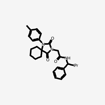 Cc1ccc(N2C(=O)N(CC(=O)NC(c3ccccc3)C(C)C)C(=O)C23CCCCC3)cc1